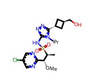 CO[C@H](c1ncc(Cl)cn1)[C@H](C)S(=O)(=O)Nc1nnc([C@H]2C[C@H](CO)C2)n1C(C)C